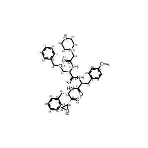 COc1ccc(C[C@H](NC(=O)[C@@H](COCc2ccccc2)NC(=O)CN2CCOCC2)C(=O)N[C@@H](Cc2ccccc2)C(=O)[C@H]2CO2)cc1